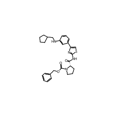 O=C(Nc1nc(-c2cccc(NCC3CCCC3)c2)cs1)[C@@H]1CCCN1C(=O)OCc1ccccc1